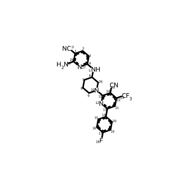 N#Cc1ccc(NC2CCCN(c3nc(-c4ccc(F)cc4)cc(C(F)(F)F)c3C#N)C2)nc1N